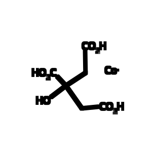 O=C(O)CC(O)(CC(=O)O)C(=O)O.[Co]